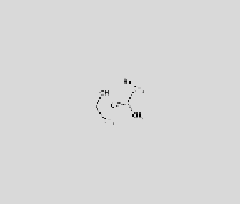 CC(C)=O.CCO.[Ru]